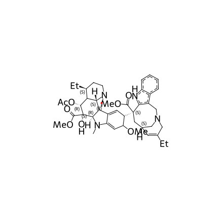 CCC1=C[C@H]2CN(C1)Cc1c([nH]c3ccccc13)[C@@](C(=O)OC)(C1C=C3C(=CC1OC)N(C)[C@H]1[C@@](O)(C(=O)OC)[C@H](OC(C)=O)C4[C@@H](CC)CCN5CC[C@]31[C@H]45)C2